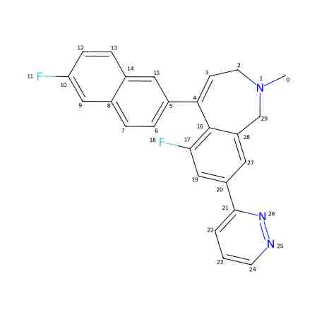 CN1CC=C(c2ccc3cc(F)ccc3c2)c2c(F)cc(-c3cccnn3)cc2C1